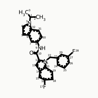 CC(C)n1ccc2cc(NC(=O)c3cc4cc(F)ccc4n3Cc3cccc(F)c3)ccc21